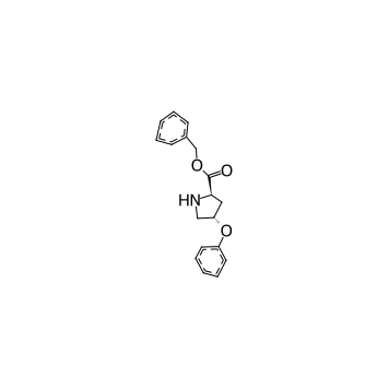 O=C(OCc1ccccc1)[C@H]1C[C@H](Oc2ccccc2)CN1